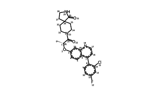 C[C@@H](Oc1ccc2c(-c3ccc(F)cc3Cl)ccnc2c1)C(=O)N1CCC2(CCNC2=O)CC1